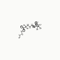 CCCCOC(=O)C(C)(C)CC/C=N/[S@@+]([O-])C(C)(C)C